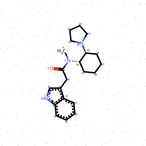 CN(C(=O)Cc1c[nH]c2ccccc12)[C@H]1CCCC[C@@H]1N1CCCC1